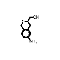 Nc1ccc2c(c1)CC(CO)OC2